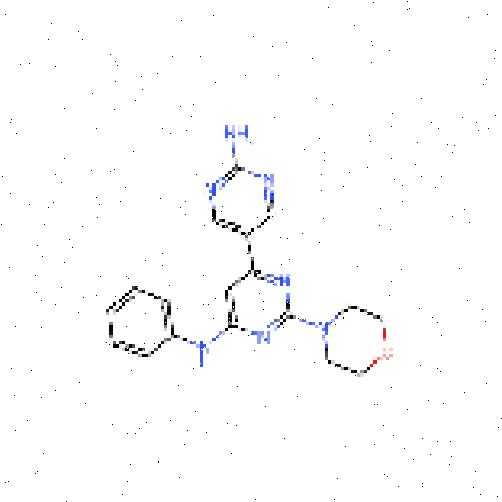 Nc1ncc(-c2cc(Nc3ccccc3)nc(N3CCOCC3)n2)cn1